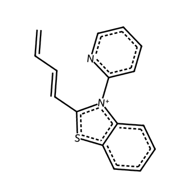 C=CC=Cc1sc2ccccc2[n+]1-c1ccccn1